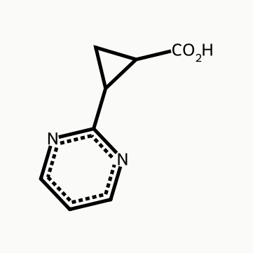 O=C(O)C1CC1c1ncccn1